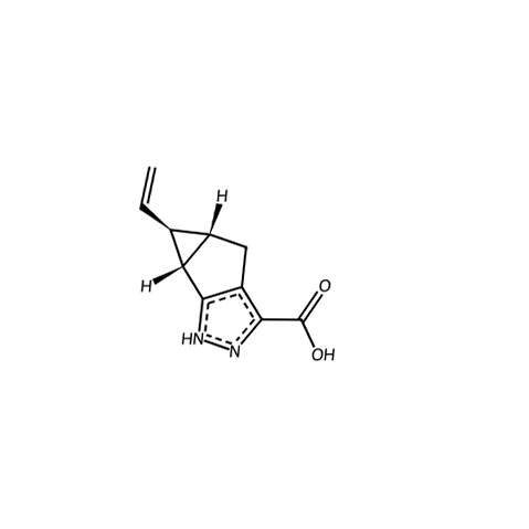 C=C[C@H]1[C@@H]2Cc3c(C(=O)O)n[nH]c3[C@H]12